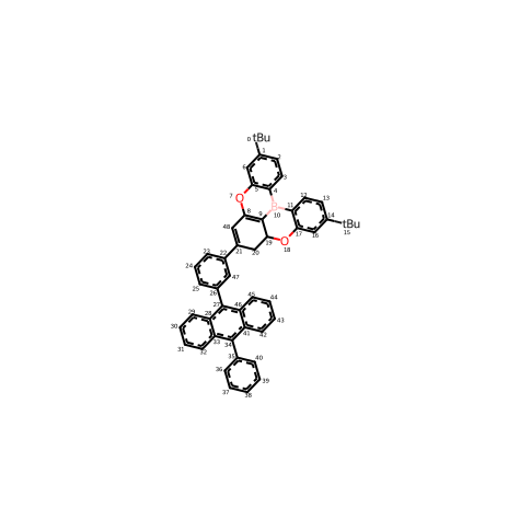 CC(C)(C)c1ccc2c(c1)OC1=C3B2c2ccc(C(C)(C)C)cc2OC3CC(c2cccc(-c3c4ccccc4c(-c4ccccc4)c4ccccc34)c2)=C1